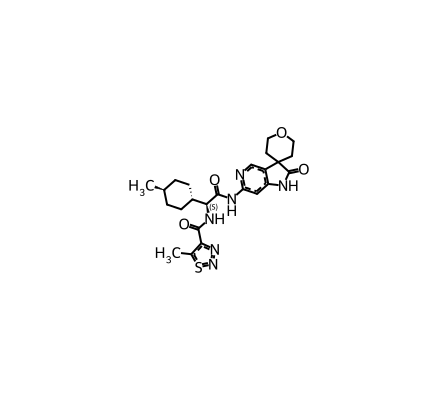 Cc1snnc1C(=O)N[C@H](C(=O)Nc1cc2c(cn1)C1(CCOCC1)C(=O)N2)[C@H]1CC[C@H](C)CC1